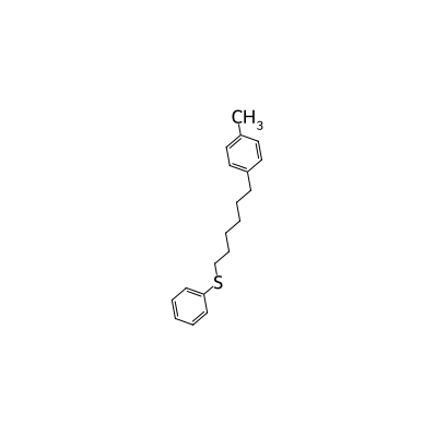 Cc1ccc(CCCCCCSc2ccccc2)cc1